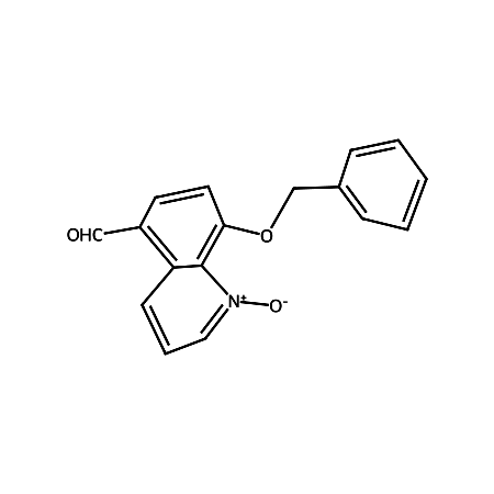 O=Cc1ccc(OCc2ccccc2)c2c1ccc[n+]2[O-]